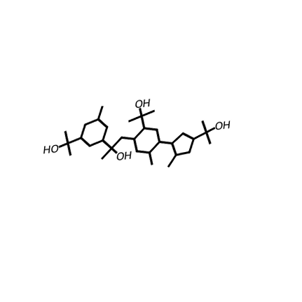 CC1CC(C(C)(C)O)CC(C(C)(O)CC2CC(C)C(C3CC(C(C)(C)O)CC3C)CC2C(C)(C)O)C1